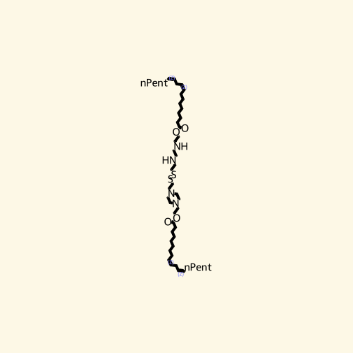 CCCCC/C=C\C/C=C\CCCCCCCC(=O)OCCNCCNCCSSCCN1CCN(CCOC(=O)CCCCCCC/C=C\C/C=C\CCCCC)CC1